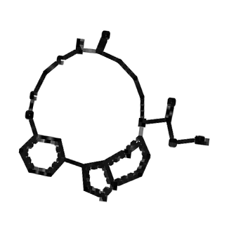 CC(C)(C)OC(=O)N1CCCC(=O)NCCCOc2cccc(c2)-c2cnn3ccc1nc23